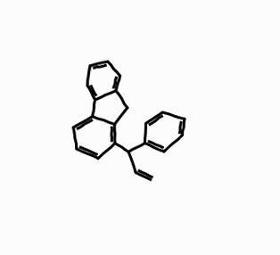 C=CC(c1ccccc1)c1cccc2c1Cc1ccccc1-2